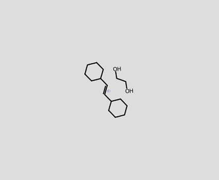 C(=C\C1CCCCC1)/C1CCCCC1.OCCO